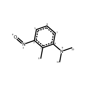 Cc1c(N=O)cccc1N(C)C